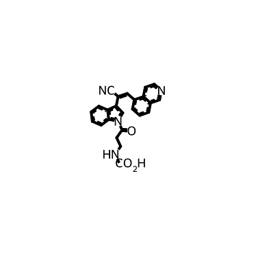 N#CC(=Cc1cccc2cnccc12)c1cn(C(=O)CCNC(=O)O)c2ccccc12